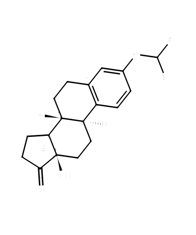 C[C@]12CC[C@@H]3c4ccc(OC(F)F)cc4CC[C@H]3[C@@H]1CCC2=O